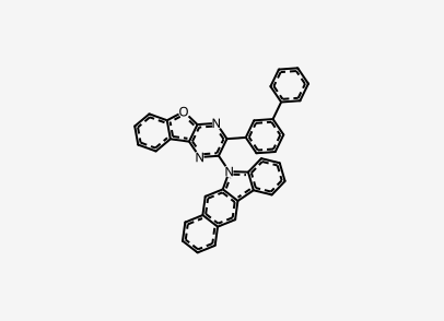 c1ccc(-c2cccc(-c3nc4oc5ccccc5c4nc3-n3c4ccccc4c4cc5ccccc5cc43)c2)cc1